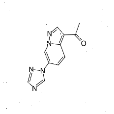 CC(=O)c1cnn2cc(-n3cncn3)ccc12